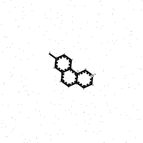 Cc1ccc2c(ccc3ccncc32)c1